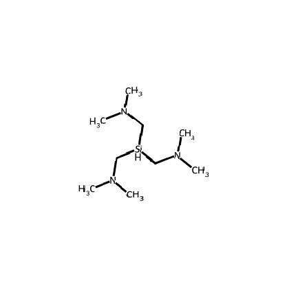 CN(C)C[SiH](CN(C)C)CN(C)C